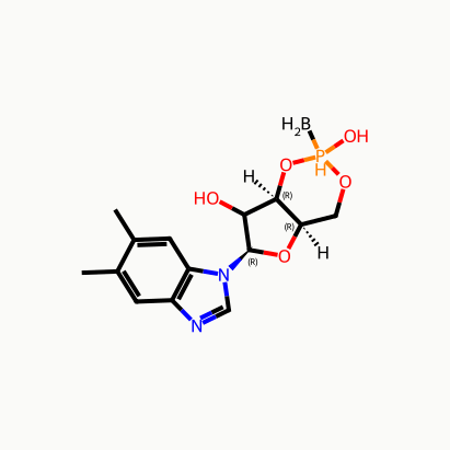 B[PH]1(O)OC[C@H]2O[C@@H](n3cnc4cc(C)c(C)cc43)C(O)[C@H]2O1